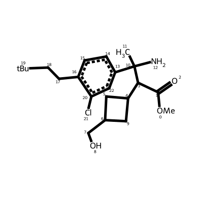 COC(=O)C(C1CC(CO)C1)C(C)(N)c1ccc(CCC(C)(C)C)c(Cl)c1